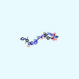 CC(C)C[C@H](NC(=O)[C@@H](O)[C@H](C)Cc1ccccc1)C(=O)NCCC/[N+](C)=C/C1C[C@@H]2CN(CC(=O)NCCCNc3cc(N4CCC5(CC4)CN(c4cc(F)c(CN6CCC(C)(C)CC6)cc4F)CC(=O)N5)ncn3)C[C@@H]2C1